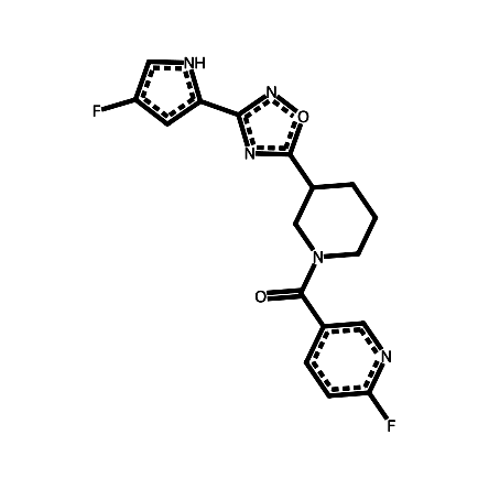 O=C(c1ccc(F)nc1)N1CCCC(c2nc(-c3cc(F)c[nH]3)no2)C1